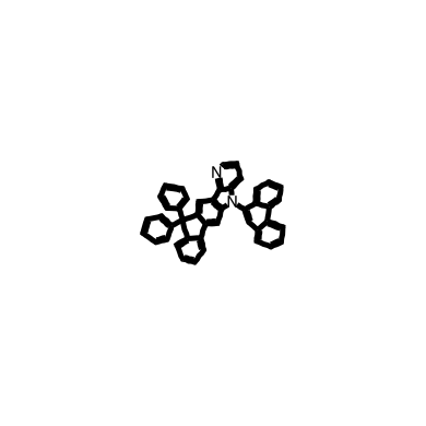 c1ccc(C2(c3ccccc3)c3ccccc3-c3cc4c(cc32)c2ncccc2n4-c2cc3ccccc3c3ccccc23)cc1